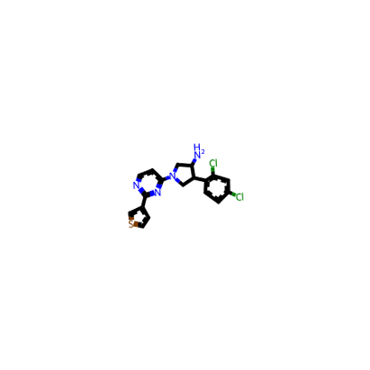 NC1CN(c2ccnc(-c3ccsc3)n2)CC1c1ccc(Cl)cc1Cl